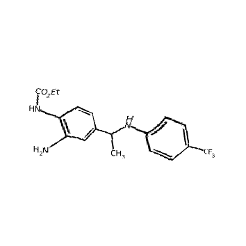 CCOC(=O)Nc1ccc(C(C)Nc2ccc(C(F)(F)F)cc2)cc1N